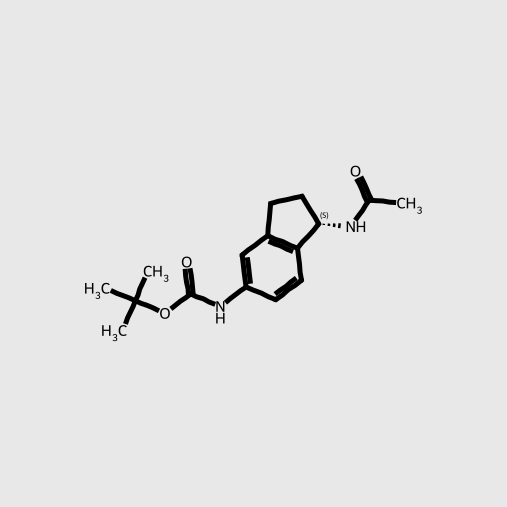 CC(=O)N[C@H]1CCc2cc(NC(=O)OC(C)(C)C)ccc21